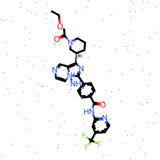 CCOCC(=O)N1CCC[C@@H](C2=C3C=NC=C[N+]3(N)C(c3ccc(C(=O)Nc4cc(C(F)(F)F)ccn4)cc3)=N2)C1